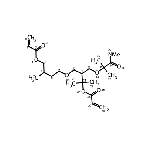 C=CC(=O)OCC(C)CCOCC(COC(C)(C)C(=O)NC)C(C)(C)OC(=O)C=C